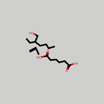 C=CC.CCCCC(CC)CO.O=C(O)CCCCC(=O)O